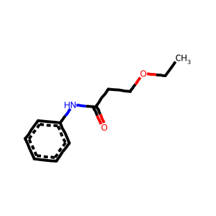 CCOCCC(=O)Nc1ccccc1